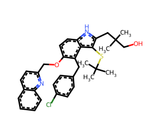 CC(C)(CO)Cc1[nH]c2ccc(OCc3ccc4ccccc4n3)c(Cc3ccc(Cl)cc3)c2c1SC(C)(C)C